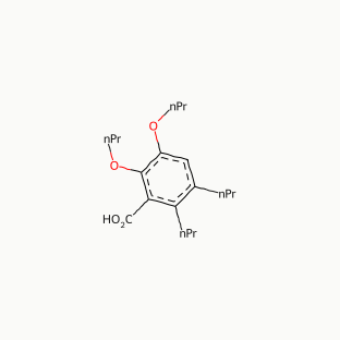 CCCOc1cc(CCC)c(CCC)c(C(=O)O)c1OCCC